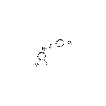 O=[N+]([O-])c1ccc(N/N=C/c2ccc(C(F)(F)F)cc2)cc1Cl